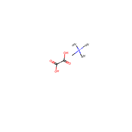 CCC[N+](C)(CCC)CCC.O=C(O)C(=O)O